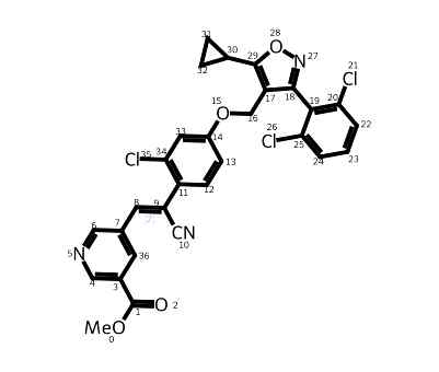 COC(=O)c1cncc(/C=C(\C#N)c2ccc(OCc3c(-c4c(Cl)cccc4Cl)noc3C3CC3)cc2Cl)c1